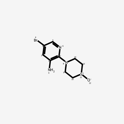 Nc1cc(Br)cnc1N1CC[S+]([O-])CC1